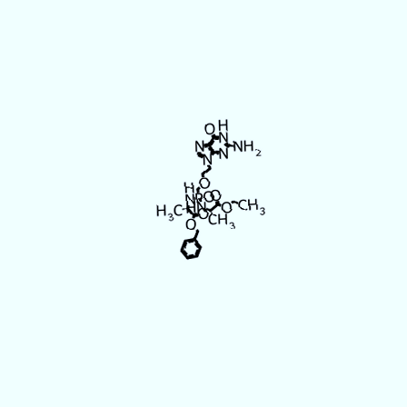 CCOC(=O)[C@H](C)NP(=O)(COCCn1cnc2c(=O)[nH]c(N)nc21)N[C@@H](C)C(=O)OCc1ccccc1